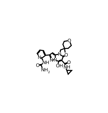 CC1(Cn2c(=O)c(C(=O)NC3CC3)c(O)n3nc(-c4cccnc4NC(N)=O)cc23)CCOCC1